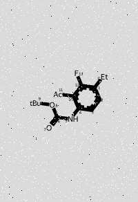 CCc1ccc(NC(=O)OC(C)(C)C)c(C(C)=O)c1F